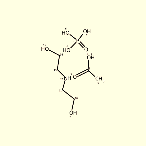 CC(=O)O.O=P(O)(O)O.OCCNCCO